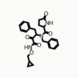 O=C1CCC(C(=O)N(Cc2ccccc2)C(Cc2ccccc2)C(=O)C(=O)NOCC2CC2)N1